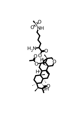 CC(=O)O[C@@H]1C[C@@]23COC[C@](C)([C@@H]2CC[C@H]2C3=CC[C@@]3(C)[C@H](C(=O)O)[C@@](C)([C@H](C)C(C)C)CC[C@]23C)[C@H]1OC(=O)C(N)CCCCNS(C)(=O)=O